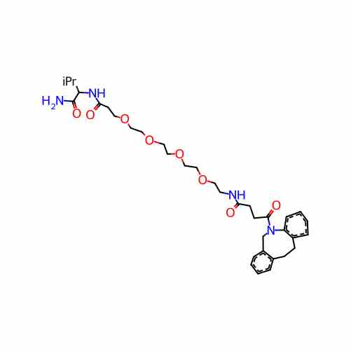 CC(C)C(NC(=O)CCOCCOCCOCCOCCNC(=O)CCC(=O)N1Cc2ccccc2CCc2ccccc21)C(N)=O